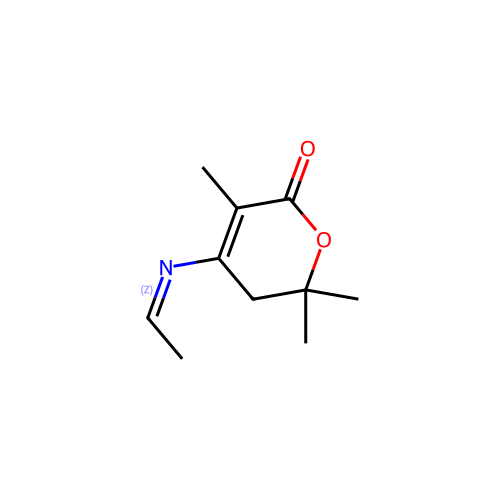 C/C=N\C1=C(C)C(=O)OC(C)(C)C1